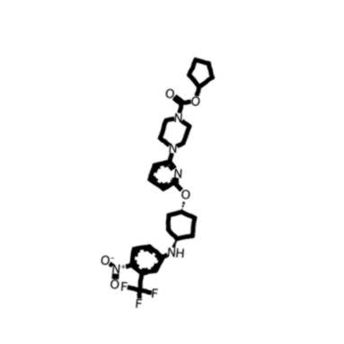 O=C(OC1CCCC1)N1CCN(c2cccc(O[C@H]3CC[C@H](Nc4ccc([N+](=O)[O-])c(C(F)(F)F)c4)CC3)n2)CC1